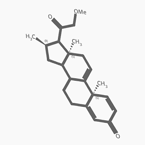 COCC(=O)C1[C@H](C)CC2C3CCC4=CC(=O)C=C[C@]4(C)C3=CC[C@@]21C